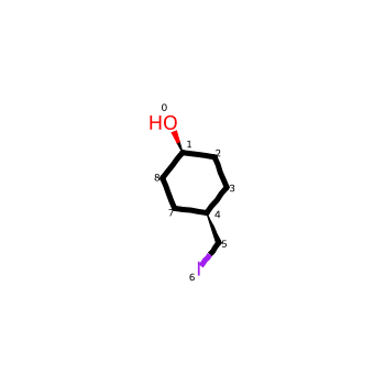 O[C@H]1CC[C@@H](CI)CC1